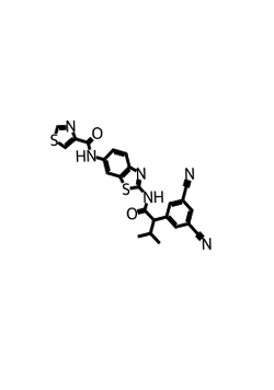 CC(C)C(C(=O)Nc1nc2ccc(NC(=O)c3cscn3)cc2s1)c1cc(C#N)cc(C#N)c1